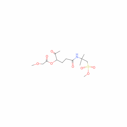 COCC(=O)OC(CCC(=O)NC(C)(C)CS(=O)(=O)OC)C(C)=O